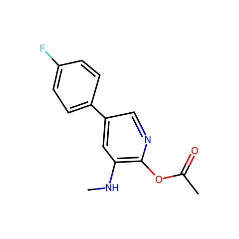 CNc1cc(-c2ccc(F)cc2)cnc1OC(C)=O